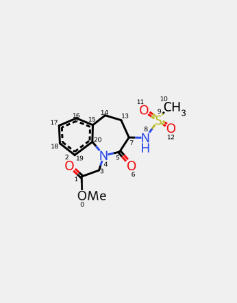 COC(=O)CN1C(=O)C(NS(C)(=O)=O)CCc2ccccc21